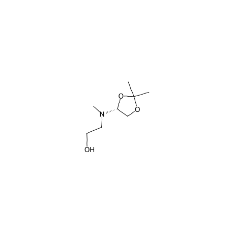 CN(CCO)[C@H]1COC(C)(C)O1